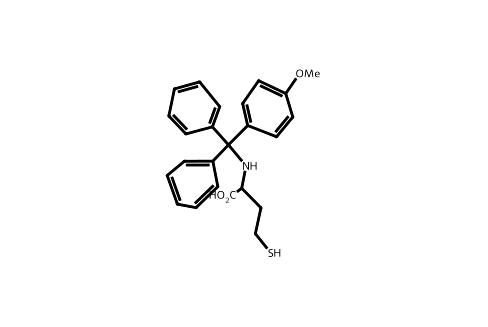 COc1ccc(C(NC(CCS)C(=O)O)(c2ccccc2)c2ccccc2)cc1